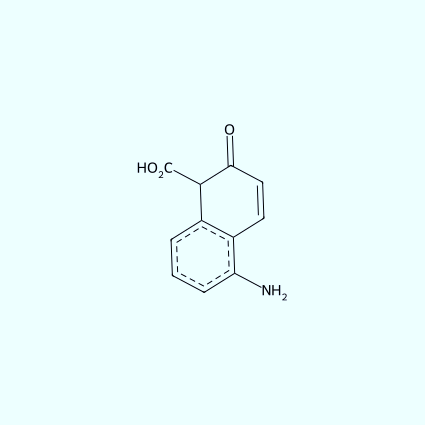 Nc1cccc2c1C=CC(=O)C2C(=O)O